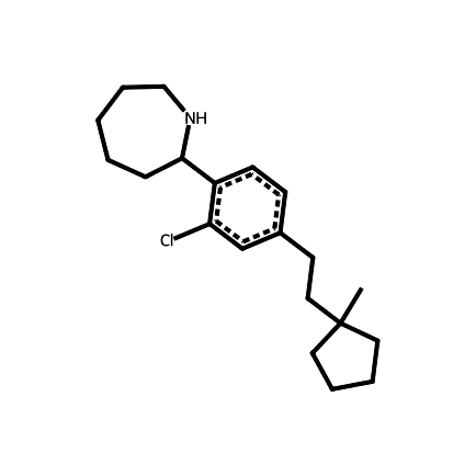 CC1(CCc2ccc(C3CCCCCN3)c(Cl)c2)CCCC1